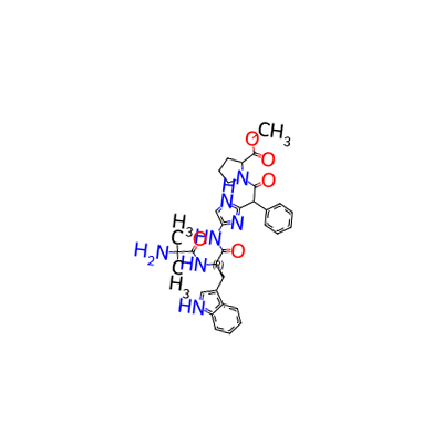 COC(=O)C1CCCN1C(=O)C(c1ccccc1)c1nc(NC(=O)[C@@H](Cc2c[nH]c3ccccc23)NC(=O)C(C)(C)N)c[nH]1